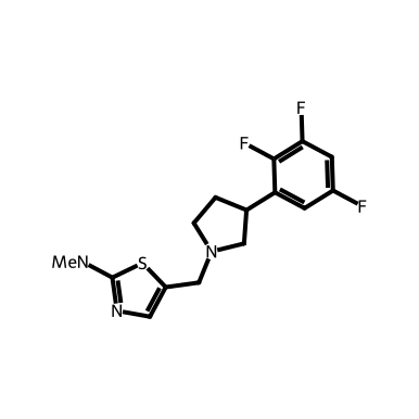 CNc1ncc(CN2CCC(c3cc(F)cc(F)c3F)C2)s1